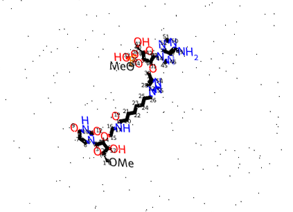 COC[C@H]1O[C@@H](n2ccc(=O)[nH]c2=O)[C@@H](OCCNC(=O)CCCCCCCn2cc(CO[C@H]3C(OP(=O)(O)OC)[C@@H](CO)O[C@H]3n3cnc4c(N)ncnc43)nn2)C1O